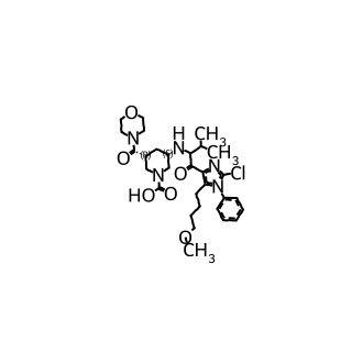 COCCCCc1c(C(=O)C(N[C@H]2C[C@@H](C(=O)N3CCOCC3)CN(C(=O)O)C2)C(C)C)nc(Cl)n1-c1ccccc1